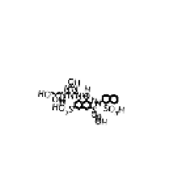 O=S(=O)(O)c1cc(Nc2nc(O)nc(NCC(O)CO)n2)c2c(O)c(/N=N/c3ccc4ccccc4c3S(=O)(=O)O)c(SOOO)cc2c1